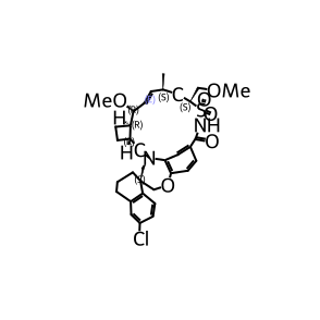 COC[C@@H]1C[C@H](C)/C=C/[C@H](OC)[C@@H]2CC[C@H]2CN2C[C@@]3(CCCc4cc(Cl)ccc43)COc3ccc(cc32)C(=O)NS1(=O)=O